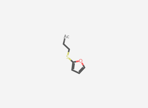 CC(=O)CCSc1ccco1